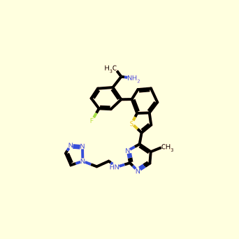 Cc1cnc(NCCn2ccnn2)nc1-c1cc2cccc(-c3cc(F)ccc3C(C)N)c2s1